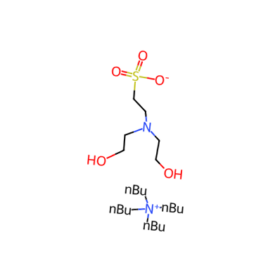 CCCC[N+](CCCC)(CCCC)CCCC.O=S(=O)([O-])CCN(CCO)CCO